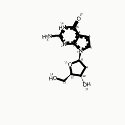 Nc1nc2c(ccn2[C@H]2C[C@H](O)[C@@H](CO)O2)c(=O)[nH]1